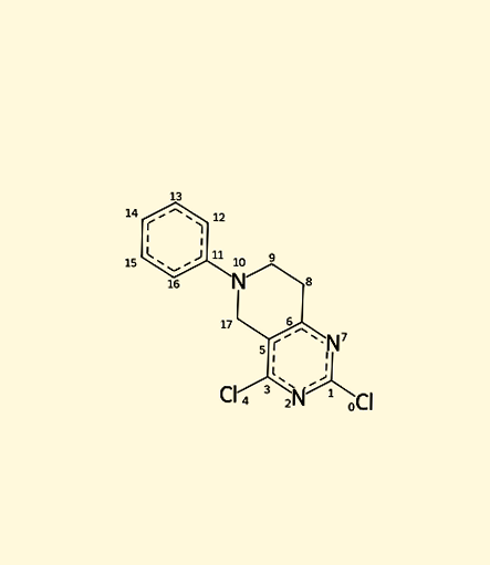 Clc1nc(Cl)c2c(n1)CCN(c1ccccc1)C2